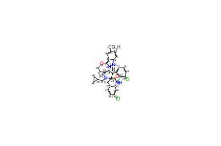 O=C(O)c1ccc2nn3c(c2c1)OCC[C@H]1[C@@H]3C(c2cccc(Cl)c2F)[C@@]2(Cc3ccc(Cl)cc3NC2=O)N1CC1CC1